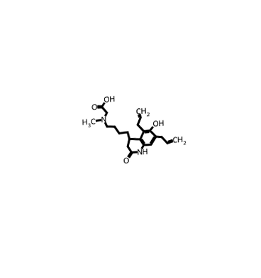 C=CCc1cc2c(c(CC=C)c1O)C(CCCCN(C)CC(=O)O)CC(=O)N2